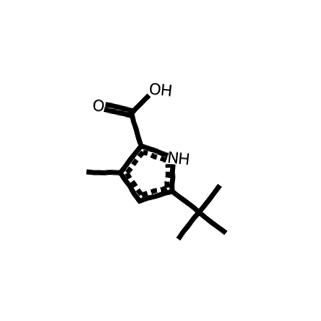 Cc1cc(C(C)(C)C)[nH]c1C(=O)O